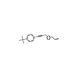 C=CCOCC#Cc1ccc(C(C)(C)C)cc1